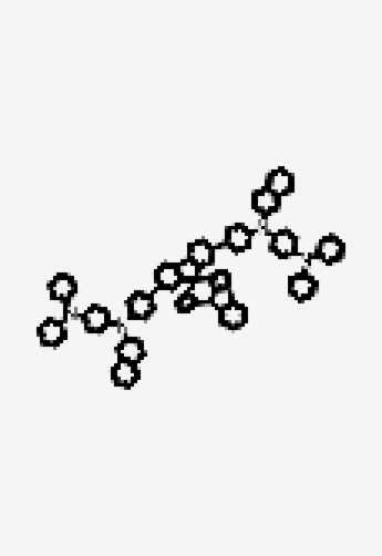 c1ccc(N(c2ccccc2)c2ccc(N(c3ccc(-c4ccc5c(c4)C4(c6cc(-c7ccc(N(c8ccc(N(c9ccccc9)c9ccccc9)cc8)c8ccc9ccccc9c8)cc7)ccc6-5)c5ccccc5C5c6ccccc6-c6cccc4c65)cc3)c3ccc4ccccc4c3)cc2)cc1